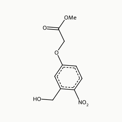 COC(=O)COc1ccc([N+](=O)[O-])c(CO)c1